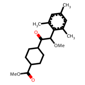 COC(=O)C1CCC(C(=O)C(OC)c2c(C)cc(C)cc2C)CC1